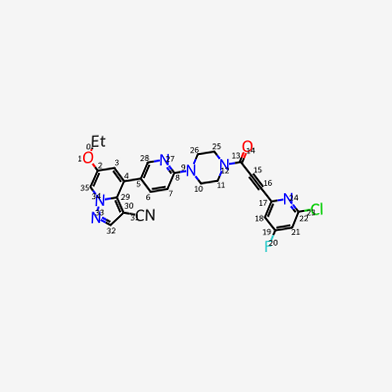 CCOc1cc(-c2ccc(N3CCN(C(=O)C#Cc4cc(F)cc(Cl)n4)CC3)nc2)c2c(C#N)cnn2c1